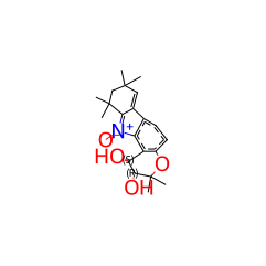 CC1(C)C=C2C(=[N+]([O-])c3c2ccc2c3[C@H](O)[C@@H](O)C(C)(C)O2)C(C)(C)C1